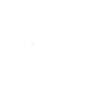 NS(=O)(=O)c1ccccc1C1CC1(Cl)Cl